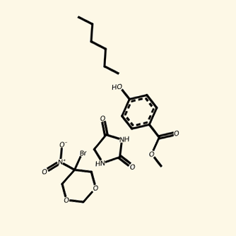 CCCCCC.COC(=O)c1ccc(O)cc1.O=C1CNC(=O)N1.O=[N+]([O-])C1(Br)COCOC1